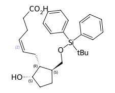 CC(C)(C)[Si](OC[C@H]1CC[C@H](O)[C@@H]1C/C=C\CCC(=O)O)(c1ccccc1)c1ccccc1